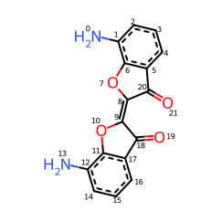 Nc1cccc2c1OC(=C1Oc3c(N)cccc3C1=O)C2=O